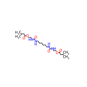 CC(C)CC(=O)OCCNC(=O)NCCCCCCNC(=O)NCCOC(=O)CC(C)C